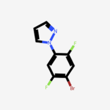 Fc1cc(-n2cccn2)c(F)cc1Br